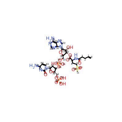 C=CCCC(=O)NC(CCS(C)(=O)=O)C(=O)O[C@H]1[C@@H](O)[C@H](n2cnc3c(N)ncnc32)O[C@@H]1COP(=O)(O)O[C@H]1C[C@H](n2ccc(N)nc2=O)O[C@H]1COP(=O)(O)O